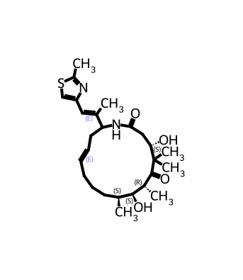 C/C(=C\c1csc(C)n1)C1C/C=C/CCC[C@H](C)[C@H](O)[C@@H](C)C(=O)C(C)(C)[C@@H](O)CC(=O)N1